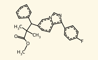 COC(=O)C(C)(C)C(c1ccccc1)c1ccc2c(-c3ccc(F)cc3)ncn2c1